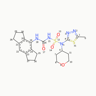 Cc1nnc(N(C2CCOCC2)S(=O)(=O)NC(=O)Nc2c3c(cc4c2CCC4)CCC3)s1